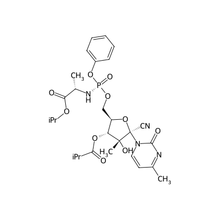 Cc1ccn([C@]2(C#N)O[C@H](CO[P@@](=O)(N[C@@H](C)C(=O)OC(C)C)Oc3ccccc3)[C@@H](OC(=O)C(C)C)[C@@]2(C)O)c(=O)n1